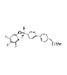 COCC1CC=C(c2ccc(C(F)(F)Oc3cc(F)c(F)c(F)c3)cc2)CC1